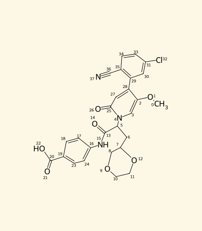 COc1cn(C(CC2COCCO2)C(=O)Nc2ccc(C(=O)O)cc2)c(=O)cc1-c1cc(Cl)ccc1C#N